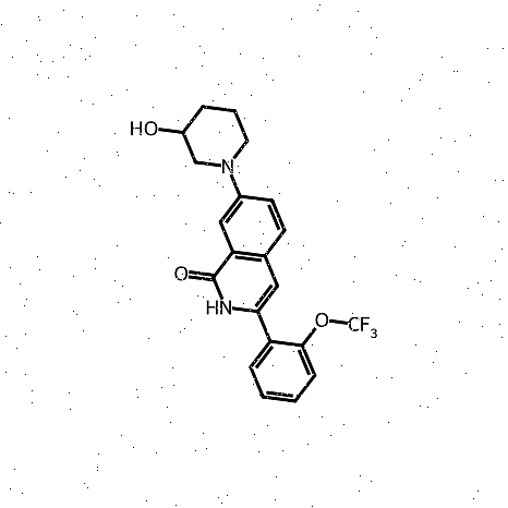 O=c1[nH]c(-c2ccccc2OC(F)(F)F)cc2ccc(N3CCCC(O)C3)cc12